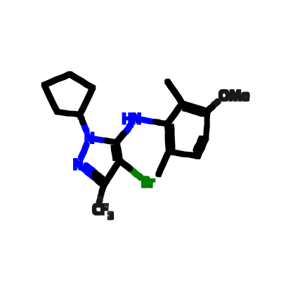 COc1ccc(C)c(Nc2c(Br)c(C(F)(F)F)nn2C2CCCC2)c1C